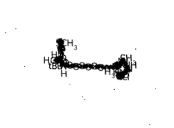 Cc1nc(Nc2ncc(C(=O)Nc3c(C)cccc3Cl)s2)cc(N2CCN(CCCCCCOCCOCCOCCOCCOCCOCC(=O)N[C@H](C(=O)N3C[C@H](O)C[C@H]3C(=O)NCc3ccc(-c4sccc4C)cc3)C(C)(C)C)CC2)n1